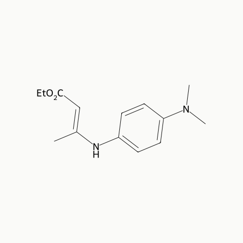 CCOC(=O)C=C(C)Nc1ccc(N(C)C)cc1